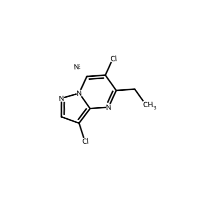 CCc1nc2c(Cl)cnn2cc1Cl.[N]